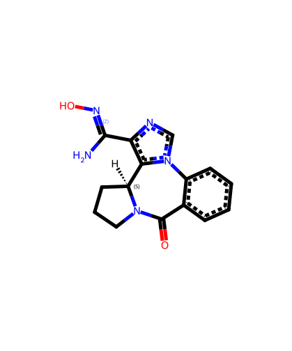 N/C(=N\O)c1ncn2c1[C@@H]1CCCN1C(=O)c1ccccc1-2